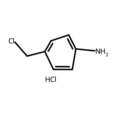 Cl.Nc1ccc(CCl)cc1